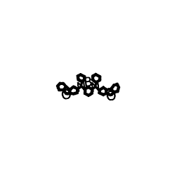 c1ccc2c(c1)B1c3ccccc3N(c3ccc4oc5ccccc5c4c3)c3cccc(c31)N2c1ccc2oc3ccccc3c2c1